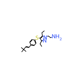 CCc1nn(CCN)c(CC)c1Sc1ccc(C=CC(C)(C)C)cc1